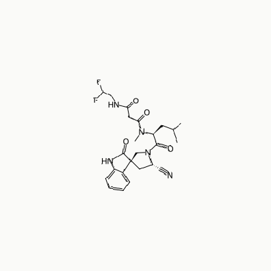 CC(C)C[C@@H](C(=O)N1C[C@]2(C[C@H]1C#N)C(=O)Nc1ccccc12)N(C)C(=O)CC(=O)NCC(F)F